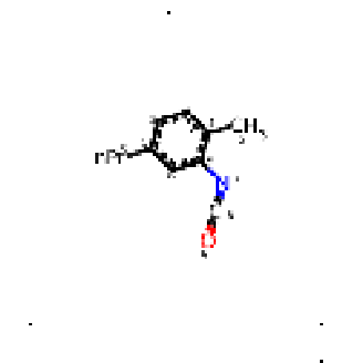 CCCc1ccc(C)c(N=C=O)c1